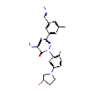 CCNc1cc(-c2cc(C)cc(C=NO)c2)nn(-c2cc(N3CCC(O)C3)ccc2C(F)(F)F)c1=O